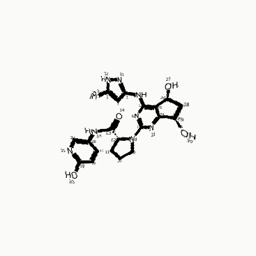 CC(C)c1cc(Nc2nc(N3CCC[C@@H]3C(=O)Nc3ccc(O)nc3)nc3c2[C@@H](O)C[C@H]3O)n[nH]1